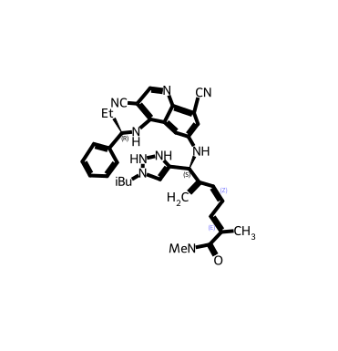 C=C(/C=C\C=C(/C)C(=O)NC)[C@H](Nc1cc(C#N)c2ncc(C#N)c(N[C@H](CC)c3ccccc3)c2c1)C1=CN(C(C)CC)NN1